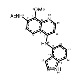 COc1c(NC(C)=O)ccc2c(Nc3cccc4[nH]ccc34)ccnc12